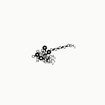 CC[C@H](C)[C@H](NC(=O)[C@@]1(NC(=O)C(Cc2ccc(OCCOCCOCCOCCOC)cc2)N(Cc2ccccc2)C(=O)O)CCc2[nH]c3c(Cl)cc(Cl)cc3c2C1)C(N)=O